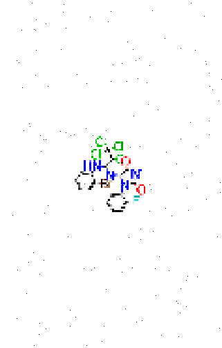 CN1C(=O)C(=NC(Nc2ccccc2Br)C(Cl)C(Cl)(Cl)Cl)N(c2ccccc2F)C1=O